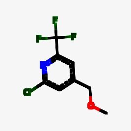 COCc1cc(Cl)nc(C(F)(F)F)c1